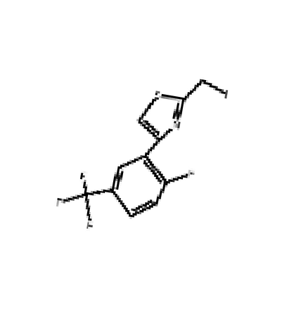 Fc1ccc(C(F)(F)F)cc1-c1csc(CI)n1